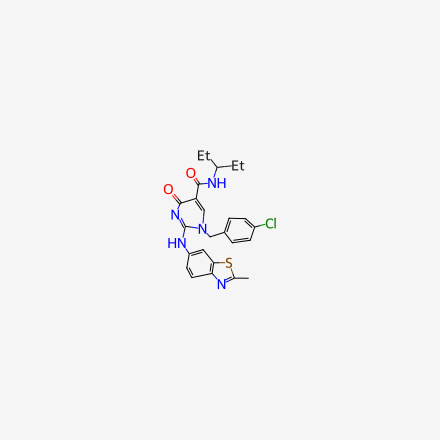 CCC(CC)NC(=O)c1cn(Cc2ccc(Cl)cc2)c(Nc2ccc3nc(C)sc3c2)nc1=O